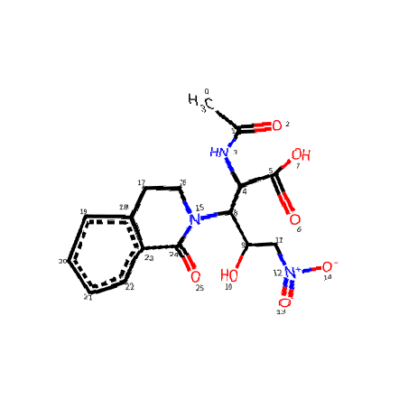 CC(=O)NC(C(=O)O)C(C(O)C[N+](=O)[O-])N1CCc2ccccc2C1=O